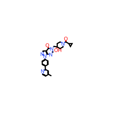 Cc1ccnc(-c2ccc(-n3ncc4c(=O)n(CC5(O)CCN(C(=O)C6CC6)CC5)cnc43)cc2)c1